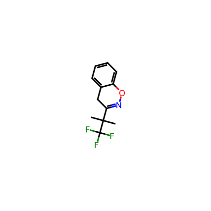 CC(C)(C1=NOc2ccccc2C1)C(F)(F)F